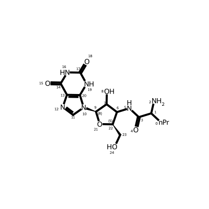 CCCC(N)C(=O)NC1C(O)[C@H](n2cnc3c(=O)[nH]c(=O)[nH]c32)O[C@@H]1CO